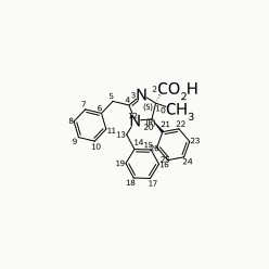 C[C@]1(C(=O)O)N=C(Cc2ccccc2)N(Cc2ccccc2)[C@@H]1c1ccccc1